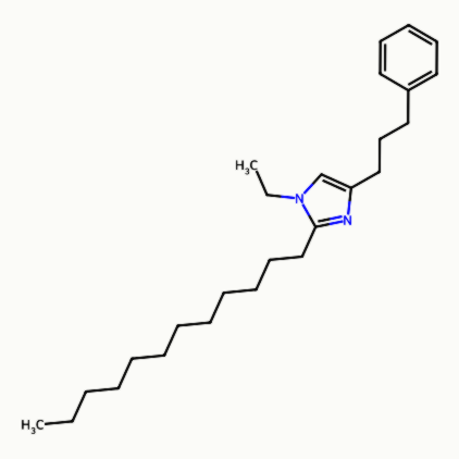 CCCCCCCCCCCCc1nc(CCCc2ccccc2)cn1CC